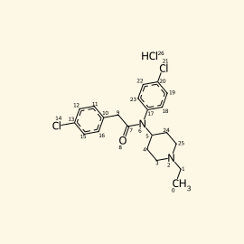 CCN1CCC(N(C(=O)Cc2ccc(Cl)cc2)c2ccc(Cl)cc2)CC1.Cl